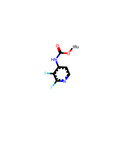 CC(C)(C)OC(=O)Nc1ccnc(F)c1F